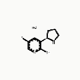 Cl.Oc1ncc(F)cc1[C@H]1CCCN1